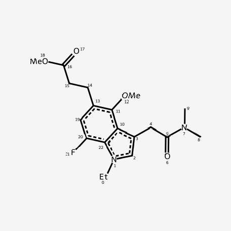 CCn1cc(CC(=O)N(C)C)c2c(OC)c(CCC(=O)OC)cc(F)c21